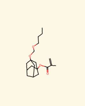 C=C(C)C(=O)OC12CC3CC(CC(OCOCCCC)(C3)C1)C2